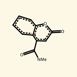 CNC(=O)c1cc(=O)oc2ccccc12